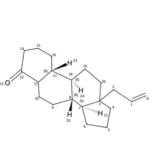 C=CCC12CCC[C@H]1[C@@H]1CCC3C(=O)CCC[C@@H]3[C@H]1CC2